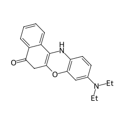 CCN(CC)c1ccc2c(c1)OC1=C(N2)c2ccccc2C(=O)C1